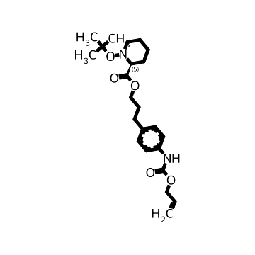 C=CCOC(=O)Nc1ccc(CCCOC(=O)[C@@H]2CCCCN2OC(C)(C)C)cc1